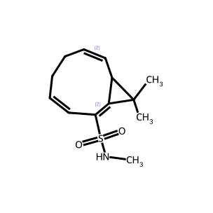 CNS(=O)(=O)/C1=C2/C(/C=C\CCC=C1)C2(C)C